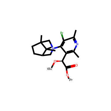 Cc1nc(C)c([C@H](OC(C)(C)C)C(=O)OC(C)C)c(N2CC3CCC(C)(C2)C3(C)C)c1Br